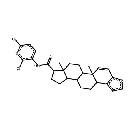 CC12C=Cc3nccn3C1CCC1C2CCC2(C)C(C(=O)Nc3ccc(Cl)nc3Cl)CCC12